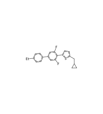 CCc1ccc(-c2cc(F)c(-c3ccc(CC4CC4)s3)c(F)c2)cc1